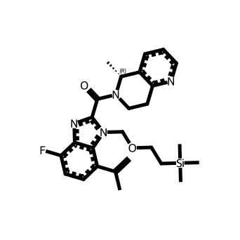 C=C(C)c1ccc(F)c2nc(C(=O)N3CCc4ncccc4[C@H]3C)n(COCC[Si](C)(C)C)c12